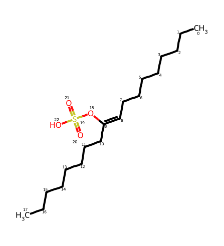 CCCCCCCC/C=C(/CCCCCCCC)OS(=O)(=O)O